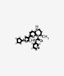 C[C@@H]1CCNc2ccc(-c3cnn(C4CCCC4)c3)nc2N1C(=O)Nc1cccnc1